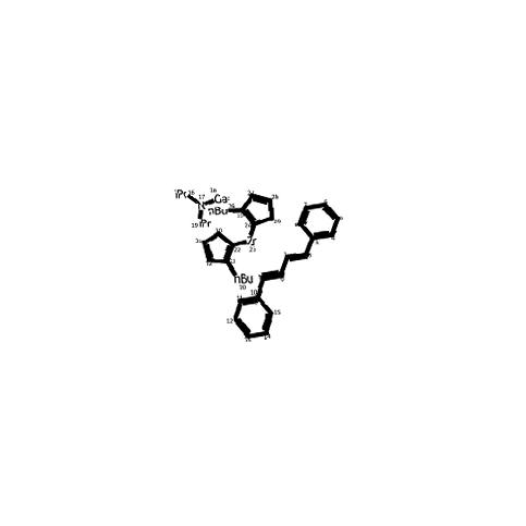 C(C=Cc1ccccc1)=Cc1ccccc1.CC(C)[N]([Ga])C(C)C.CCCCC1=[C]([Zr][C]2=C(CCCC)C=CC2)CC=C1